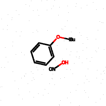 CCC(C)Oc1ccccc1.O=NO